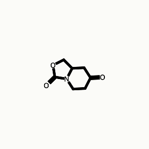 O=C1CCN2C(=O)OCC2C1